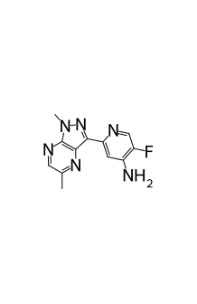 Cc1cnc2c(n1)c(-c1cc(N)c(F)cn1)nn2C